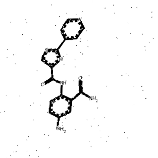 NC(=O)c1cc(N)ccc1NC(=O)c1csc(-c2ccncc2)n1